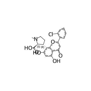 CN1CC[C@H](c2c(O)cc(O)c3c(=O)cc(-c4ccccc4Cl)oc23)[C@H]1C(=O)O